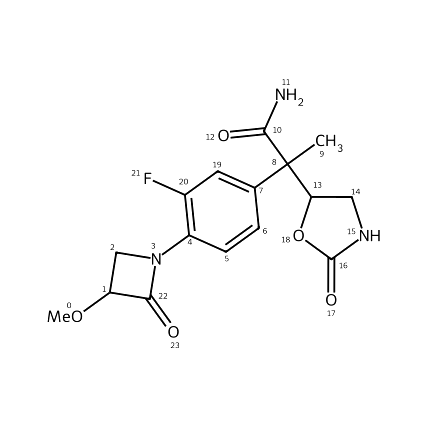 COC1CN(c2ccc(C(C)(C(N)=O)C3CNC(=O)O3)cc2F)C1=O